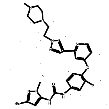 CN1CCN(CCn2cc(-c3cc(Oc4ccc(NC(=O)Nc5cc(C(C)(C)C)nn5C)cc4F)ccn3)cn2)CC1